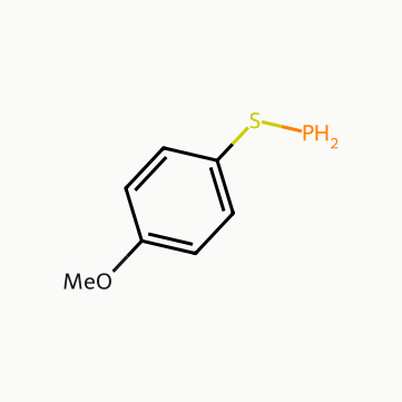 COc1ccc(SP)cc1